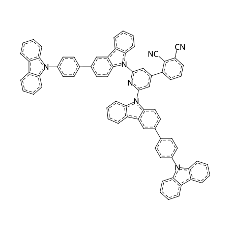 N#Cc1cccc(-c2cc(-n3c4ccccc4c4cc(-c5ccc(-n6c7ccccc7c7ccccc76)cc5)ccc43)nc(-n3c4ccccc4c4cc(-c5ccc(-n6c7ccccc7c7ccccc76)cc5)ccc43)c2)c1C#N